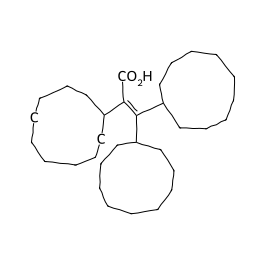 O=C(O)C(=C(C1CCCCCCCCC1)C1CCCCCCCCC1)C1CCCCCCCCC1